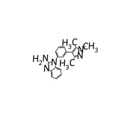 Cc1nn(C)c(C)c1-c1cccc(-n2c(N)nc3ccccc32)c1